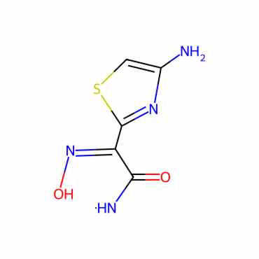 [NH]C(=O)/C(=N\O)c1nc(N)cs1